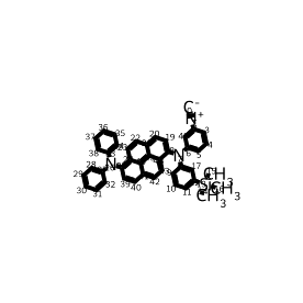 [C-]#[N+]c1cccc(N(c2cccc([Si](C)(C)C)c2)c2ccc3ccc4c(N(c5ccccc5)c5ccccc5)ccc5ccc2c3c54)c1